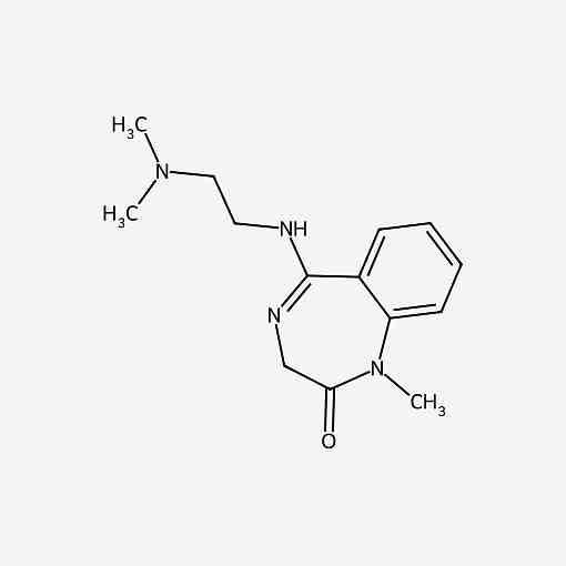 CN(C)CCNC1=NCC(=O)N(C)c2ccccc21